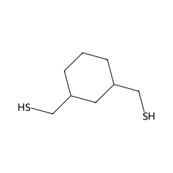 SCC1CCCC(CS)C1